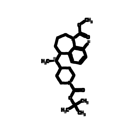 COC(=O)N1CCCC([C@@H](C)C2CCN(C(=O)OC(C)(C)C)CC2)c2cccc(F)c21